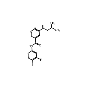 CC(C)CNc1cc(C(=O)Nc2ccc(F)c(F)c2)ccn1